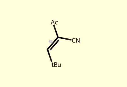 CC(=O)/C(C#N)=C/C(C)(C)C